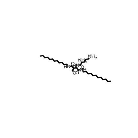 CCCCCCCCCCCCNC(=O)C(C=O)C(NC(=O)C(N)CCCN)C(=O)NCCCCCCCCCCCC